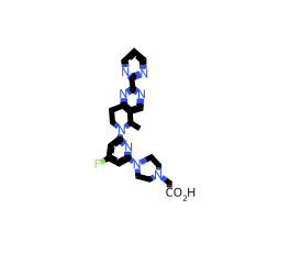 CC1c2cnc(-c3ncccn3)nc2CCN1c1cc(F)cc(N2CCN(CC(=O)O)CC2)n1